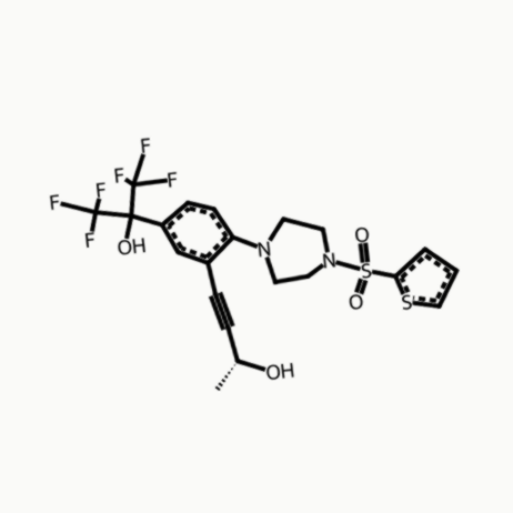 C[C@@H](O)C#Cc1cc(C(O)(C(F)(F)F)C(F)(F)F)ccc1N1CCN(S(=O)(=O)c2cccs2)CC1